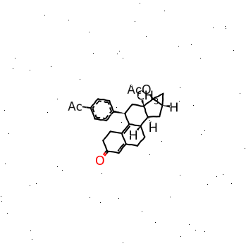 CC(=O)OC12C[C@@H]1C[C@H]1[C@@H]3CCC4=CC(=O)CCC4=C3[C@@H](c3ccc(C(C)=O)cc3)C[C@@]12C